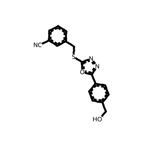 N#Cc1cccc(CSc2nnc(-c3ccc(CO)cc3)o2)c1